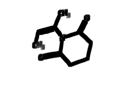 C/C=C(/C)N1C(=O)CCCC1=O